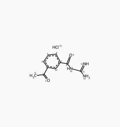 CC(=O)c1cccc(C(=O)NC(=N)N)c1.Cl